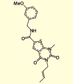 CC=CCn1c(=O)c2cc(C(=O)NCc3cccc(OC)c3)sc2n(C)c1=O